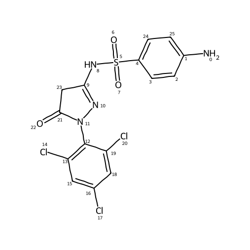 Nc1ccc(S(=O)(=O)NC2=NN(c3c(Cl)cc(Cl)cc3Cl)C(=O)C2)cc1